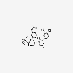 CC(=O)Oc1cccc([C@@]23CCN(C)C[C@@]2(OC(C)=O)CC[C@@H](N(CC(C)C)C(=O)Cc2ccc(Cl)c(Cl)c2)C3)c1